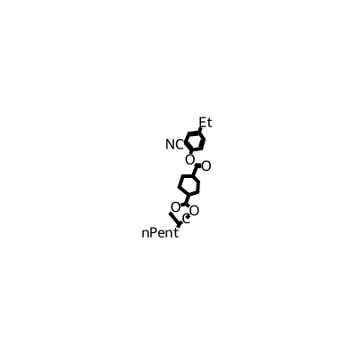 CCCCCC1COC(C2CCC(C(=O)Oc3ccc(CC)cc3C#N)CC2)OC1